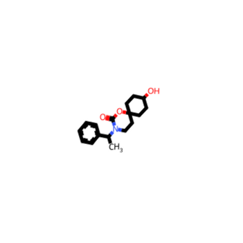 CC(c1ccccc1)N1CCC2(CCC(O)CC2)OC1=O